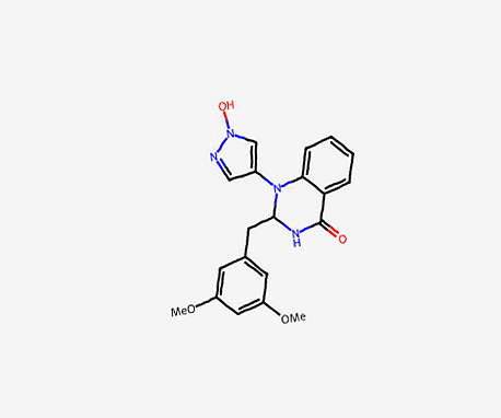 COc1cc(CC2NC(=O)c3ccccc3N2c2cnn(O)c2)cc(OC)c1